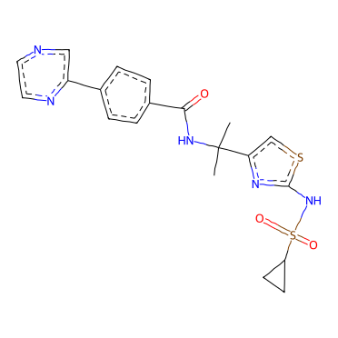 CC(C)(NC(=O)c1ccc(-c2cnccn2)cc1)c1csc(NS(=O)(=O)C2CC2)n1